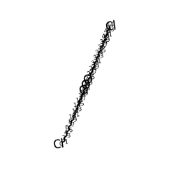 ClCCCCCCCCCCCCCCC=CCCCOCOCOCCCC=CCCCCCCCCCCCCCCCl